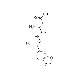 Cl.N[C@@H](CC(=O)O)C(=O)NCCc1ccc2c(c1)OCO2